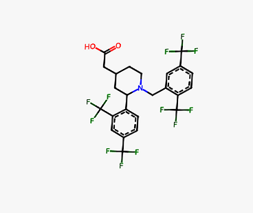 O=C(O)CC1CCN(Cc2cc(C(F)(F)F)ccc2C(F)(F)F)C(c2ccc(C(F)(F)F)cc2C(F)(F)F)C1